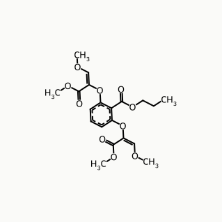 CCCOC(=O)c1c(OC(=COC)C(=O)OC)cccc1OC(=COC)C(=O)OC